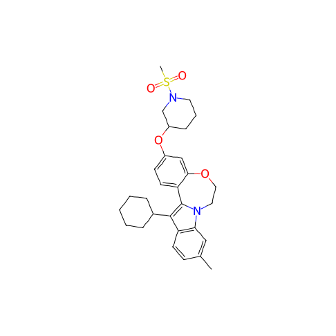 Cc1ccc2c(C3CCCCC3)c3n(c2c1)CCOc1cc(OC2CCCN(S(C)(=O)=O)C2)ccc1-3